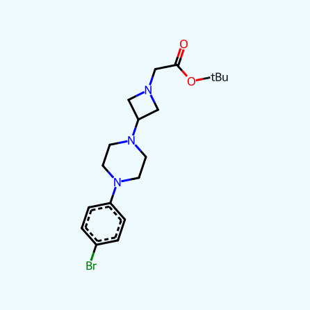 CC(C)(C)OC(=O)CN1CC(N2CCN(c3ccc(Br)cc3)CC2)C1